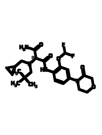 CC(C)(C)CN(CC1CC1)[C@@H](C(N)=O)C(=O)Nc1ccc(N2CCOCC2=O)cc1OC(F)F